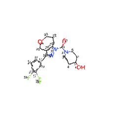 O=C(N1CCC(O)CC1)n1nc(-c2ccc(F)c(F)c2)c2c1CCOC2